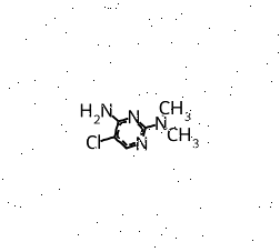 CN(C)c1ncc(Cl)c(N)n1